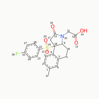 Cc1ccc2c(c1)CCC1N(CC(=O)O)C(=O)CC21S(=O)(=O)c1ccc(F)cc1